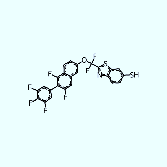 Fc1cc(-c2c(F)cc3cc(OC(F)(F)c4nc5ccc(S)cc5s4)ccc3c2F)cc(F)c1F